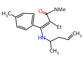 C=CCC(C)N/C(=C(\CC)C(=O)NC)c1ccc(C)cc1